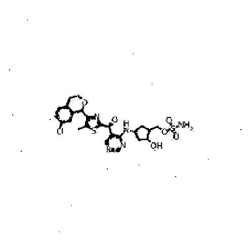 Cc1sc(C(=O)c2cncnc2N[C@@H]2CC(COS(N)(=O)=O)[C@@H](O)C2)nc1C1OCCc2ccc(Cl)cc21